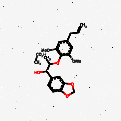 C=CCc1cc(OC)c(OC(C)C(O)c2ccc3c(c2)OCO3)c(OC)c1.CC(=O)O